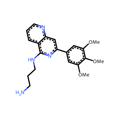 COc1cc(-c2cc3ncccc3c(NCCCN)n2)cc(OC)c1OC